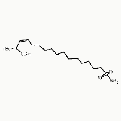 CCCC[C@H](/C=C\CCCCCCCCCCCCS(N)(=O)=O)OC(C)=O